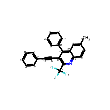 Cc1ccc2nc(C(F)(F)F)c(C#Cc3ccccc3)c(-c3ccccc3)c2c1